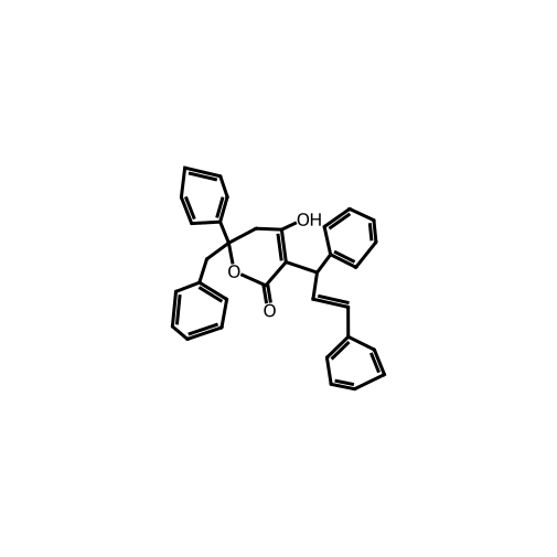 O=C1OC(Cc2ccccc2)(c2ccccc2)CC(O)=C1C(/C=C/c1ccccc1)c1ccccc1